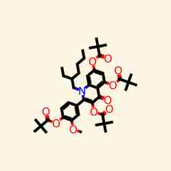 CCCCC(CC)Cn1c(-c2ccc(OC(=O)C(C)(C)C)c(OC)c2)c(OC(=O)C(C)(C)C)c(=O)c2c(OC(=O)C(C)(C)C)cc(OC(=O)C(C)(C)C)cc21